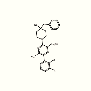 CCOC(=O)c1nc(-c2cccc(Cl)c2Cl)c(C)nc1N1CCC(C#N)(Cc2cccnc2)CC1